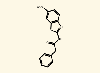 COc1ccc2nc(NC(=O)Cc3ccccc3)sc2c1